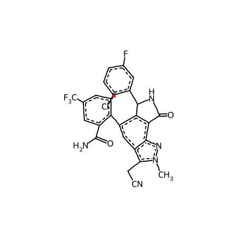 Cn1nc2c3c(c(-c4c(F)cc(C(F)(F)F)cc4C(N)=O)cc2c1CC#N)C(c1cc(F)ccc1Cl)NC3=O